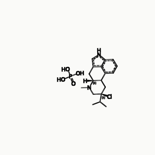 CC(C)[C@@]1(Cl)CC2c3cccc4[nH]cc(c34)C[C@H]2N(C)C1.O=P(O)(O)O